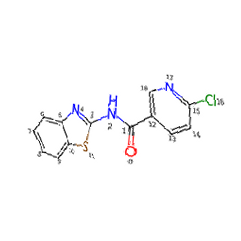 O=C(Nc1nc2ccccc2s1)c1ccc(Cl)nc1